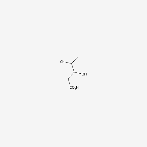 CC(Cl)C(O)CC(=O)O